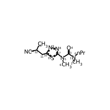 CCCN(C)C(=O)N(C)c1nnc(CC(C)C#N)s1